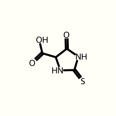 O=C(O)C1NC(=S)NC1=O